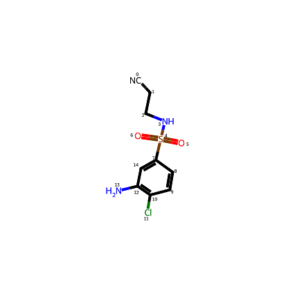 N#CCCNS(=O)(=O)c1ccc(Cl)c(N)c1